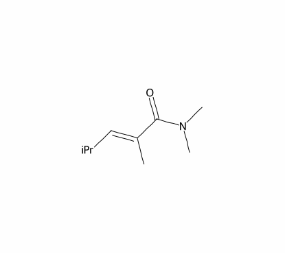 C/C(=C\C(C)C)C(=O)N(C)C